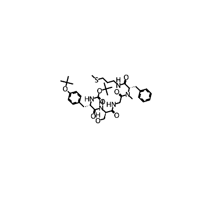 CSCCCNC(=O)[C@H](Cc1ccccc1)N(C)C(=O)CNC(=O)[C@@H](CO)NC(=O)[C@H](Cc1ccc(OC(C)(C)C)cc1)NC(=O)OC(C)(C)C